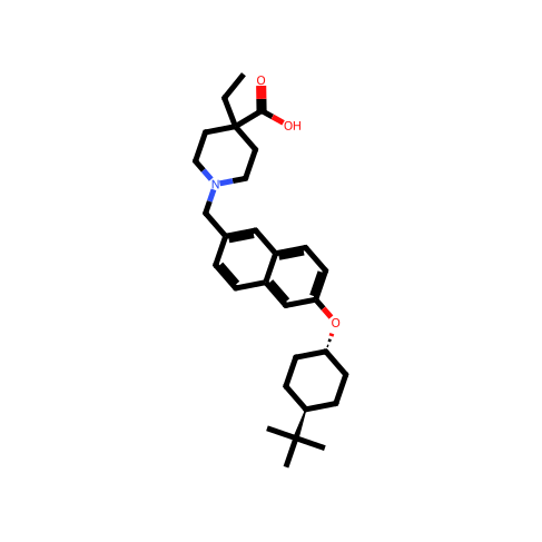 CCC1(C(=O)O)CCN(Cc2ccc3cc(O[C@H]4CC[C@H](C(C)(C)C)CC4)ccc3c2)CC1